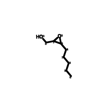 CCCCCC1OC1CO